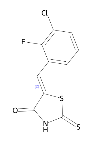 O=C1NC(=S)S/C1=C\c1cccc(Cl)c1F